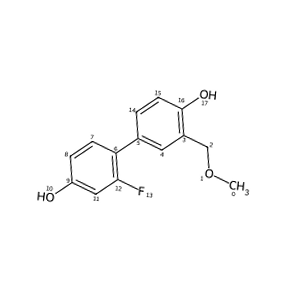 COCc1cc(-c2ccc(O)cc2F)ccc1O